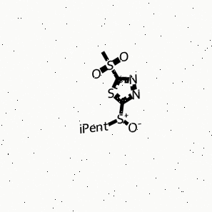 CCCC(C)[S+]([O-])c1nnc(S(C)(=O)=O)s1